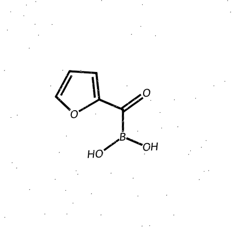 O=C(B(O)O)c1ccco1